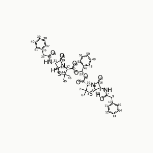 CC1(C)S[C@@H]2[C@H](NC(=O)Cc3ccccc3)C(=O)N2[C@H]1C(=O)OC(OC(=O)[C@@H]1N2C(=O)[C@@H](NC(=O)Cc3ccccc3)[C@H]2SC1(C)C)c1ccccc1